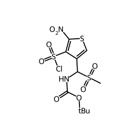 CC(C)(C)OC(=O)NC(c1csc([N+](=O)[O-])c1S(=O)(=O)Cl)S(C)(=O)=O